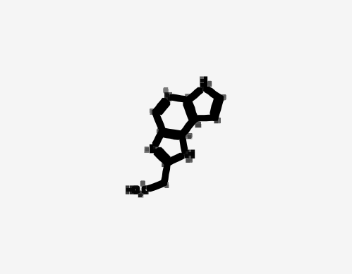 O=C(O)Cc1nc2cnc3[nH]ccc3c2[nH]1